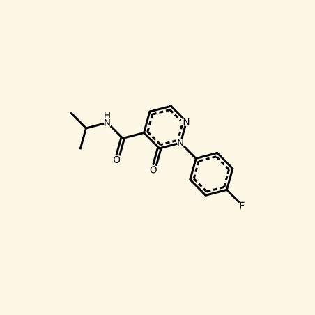 CC(C)NC(=O)c1ccnn(-c2ccc(F)cc2)c1=O